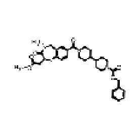 COC(=O)CC1Nc2ccc(C(=O)N3CCC(C4CCN(C(=O)OCc5ccccc5)CC4)CC3)cc2CN(C)C1=O